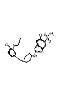 CCOc1cc(CN2CCC(Nc3nc4cc(Cl)c(S(N)(=O)=O)cc4o3)CC2)ccc1Cl